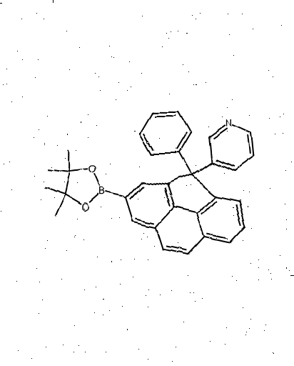 CC1(C)OB(c2cc3c4c(ccc5cccc(c54)C3(c3ccccc3)c3cccnc3)c2)OC1(C)C